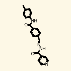 Cc1ccc(NC(=O)c2ccc(C=NNC(=O)c3ccncc3)cc2)cc1